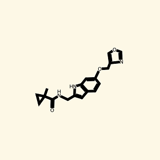 CC1(C(=O)NCc2cc3ccc(OCc4cocn4)cc3[nH]2)CC1